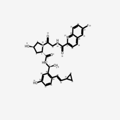 C[C@H](NC(=O)[C@@H]1C[C@@H](O)CN1C(=O)CNC(=O)c1ccc2cc(F)ccc2n1)c1cc(O)ccc1/C=C/C1CC1